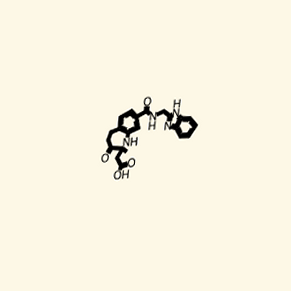 CC1(CC(=O)O)Nc2cc(C(=O)NCc3nc4ccccc4[nH]3)ccc2CCC1=O